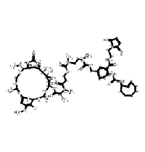 COC1=C(Cl)C2CC(=C1)CC(C)CCC[C@@H](OC)[C@@]1(O)C[C@H](OC(=O)N1)[C@@H](C)[C@@H]1O[C@@]1(C)[C@@H](OC(=O)[C@H](C)N(C)C(=O)CCOC(=O)N(C)CCN(C)C(=O)OCc1ccc(NC(=O)NC3/C=C/CCCCC3)c(C(=O)NCCN3C(=O)C=CC3=O)c1)CC(O)C2